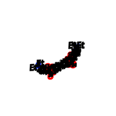 CCN(CC)c1ccc(C=C2C(=O)OC3(CCC(C4CCC5(CC4)OC(=O)C(=Cc4ccc(N(CC)CC)cc4)C(=O)O5)CC3)OC2=O)cc1